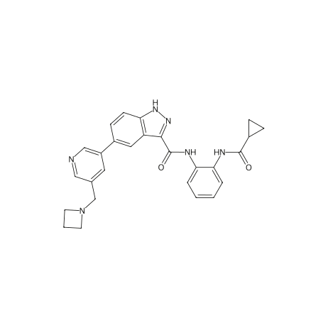 O=C(Nc1ccccc1NC(=O)C1CC1)c1n[nH]c2ccc(-c3cncc(CN4CCC4)c3)cc12